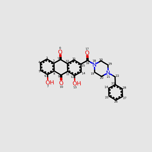 O=C1c2cccc(O)c2C(=O)c2c(O)cc(C(=O)N3CCN(Cc4ccccc4)CC3)cc21